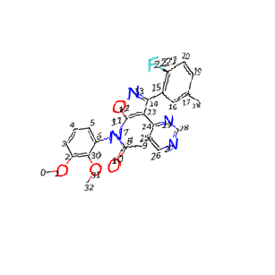 COc1cccc(N(C(C)=O)c2onc(-c3cc(C)ccc3F)c2-c2ccncn2)c1OC